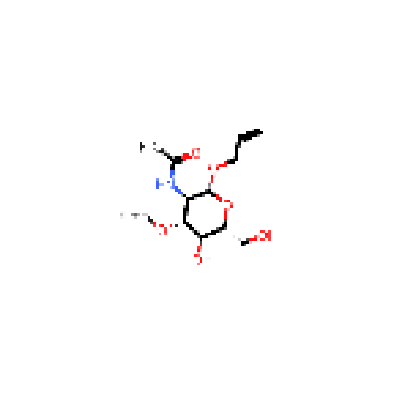 C=CCO[C@H]1O[C@H](CO)[C@@H](O)[C@H](OCCCCCCCCCC)[C@H]1NC(=O)C(F)(F)F